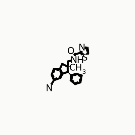 C[C@@]1(CNC(=O)c2nccs2)Cc2ccc(C#N)cc2[C@@H]1c1ccccc1